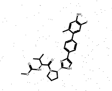 COC(=O)N[C@H](C(=O)N1CCC[C@H]1c1nc(-c2ccc(-c3cc(F)c(N)cc3C)cc2)c[nH]1)C(C)C